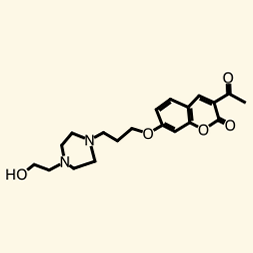 CC(=O)c1cc2ccc(OCCCN3CCN(CCO)CC3)cc2oc1=O